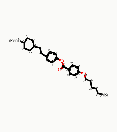 CCCCCC1CCC(CCc2ccc(OC(=O)c3ccc(OCCCCCC(C)CC)cc3)cc2)CC1